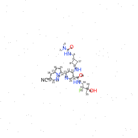 CN(C)C(=O)NCC1CC(Nc2cc(-c3ccc4cc(C#N)cnn34)ncc2C(=O)NCC(F)C(C)(C)O)C1